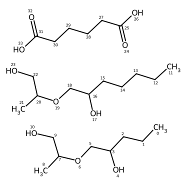 CCCC(O)COC(C)CO.CCCCCC(O)COC(C)CO.O=C(O)CCCCC(=O)O